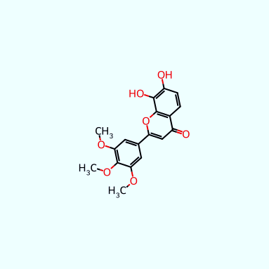 COc1cc(-c2cc(=O)c3ccc(O)c(O)c3o2)cc(OC)c1OC